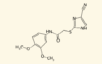 COc1ccc(NC(=O)CSc2nc(C#N)c[nH]2)cc1OC